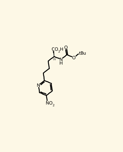 CC(C)(C)OC(=O)N[C@@H](CCCc1ccc([N+](=O)[O-])cn1)C(=O)O